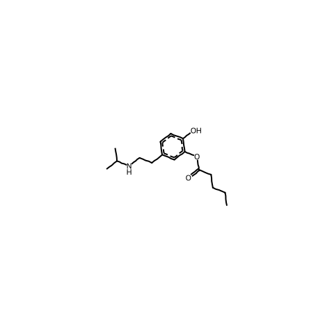 CCCCC(=O)Oc1cc(CCNC(C)C)ccc1O